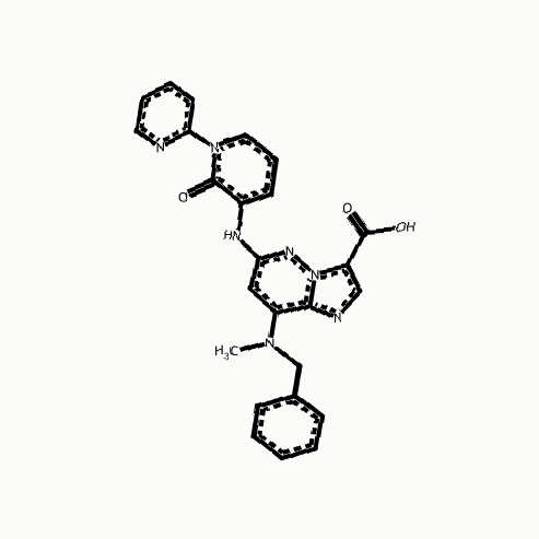 CN(Cc1ccccc1)c1cc(Nc2cccn(-c3ccccn3)c2=O)nn2c(C(=O)O)cnc12